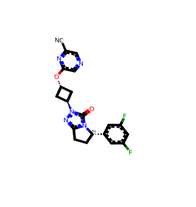 N#Cc1cncc(O[C@H]2C[C@H](n3nc4n(c3=O)[C@H](c3cc(F)cc(F)c3)CC4)C2)n1